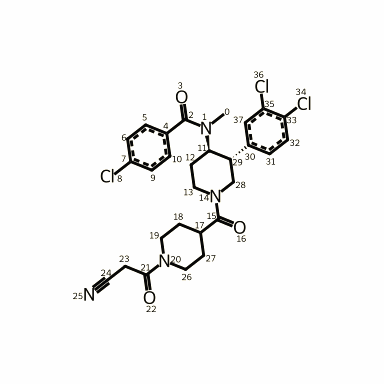 CN(C(=O)c1ccc(Cl)cc1)[C@@H]1CCN(C(=O)C2CCN(C(=O)CC#N)CC2)C[C@H]1c1ccc(Cl)c(Cl)c1